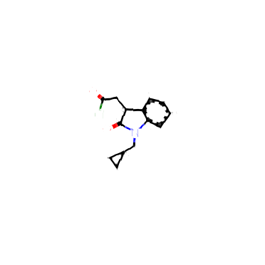 O=C(Cl)CC1C(=O)N(CC2CC2)c2ccccc21